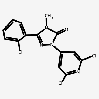 Cn1c(-c2ccccc2Cl)nn(-c2cc(Cl)nc(Cl)c2)c1=O